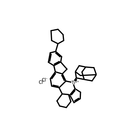 C1=CC[C]([Ti+2](=[C]2C3CC4CC(C3)CC2C4)[c]2c(C3CCCCC3)ccc3c2Cc2cc(C4CCCCC4)ccc2-3)=C1.[Cl-].[Cl-]